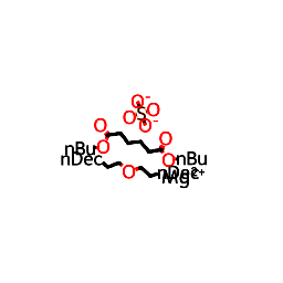 CCCCCCCCCCCCOCCCCCCCCCCCC.CCCCOC(=O)CCCCC(=O)OCCCC.O=S(=O)([O-])[O-].[Mg+2]